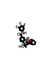 CC(C)(O)C#C[C@]1(O)C2CCC1C[C@@H](S(=O)(=O)c1cc(C(=O)Nc3cc(F)c(F)c(F)c3)ccc1Cl)C2